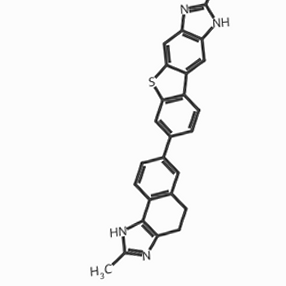 Cc1nc2c([nH]1)-c1ccc(-c3ccc4c(c3)sc3cc5nc(C)[nH]c5cc34)cc1CC2